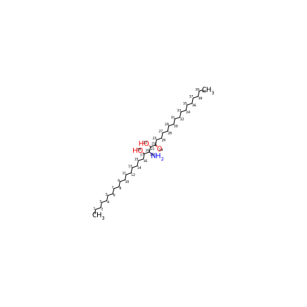 CCCCCCCCCCCCCCCCCC(O)C(N)C(O)C(=O)CCCCCCCCCCCCCCCC